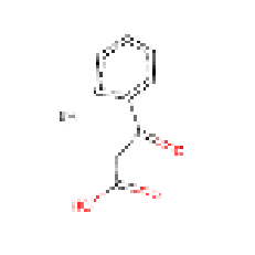 O=C(O)CC(=O)c1ccccc1.[KH]